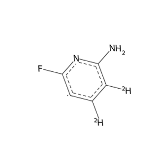 [2H]c1[c]c(F)nc(N)c1[2H]